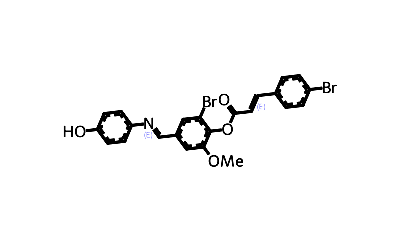 COc1cc(/C=N/c2ccc(O)cc2)cc(Br)c1OC(=O)/C=C/c1ccc(Br)cc1